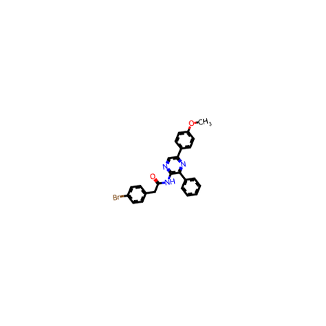 COc1ccc(-c2cnc(NC(=O)Cc3ccc(Br)cc3)c(-c3ccccc3)n2)cc1